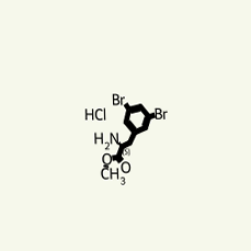 COC(=O)[C@@H](N)Cc1cc(Br)cc(Br)c1.Cl